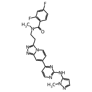 CN(CCc1nnc2cc(-c3ccnc(Nc4ccnn4C)n3)ccn12)C(=O)c1ccc(F)cc1F